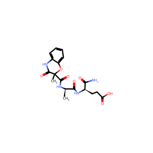 C[C@@H](NC(=O)C1(C)Oc2ccccc2NC1=O)C(=O)N[C@H](CCC(=O)O)C(N)=O